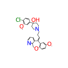 COc1ccc2c(c1)/C(=C/CCN1CCC(O)(c3ccc(Cl)c(OC)c3)CC1)c1cccnc1CO2